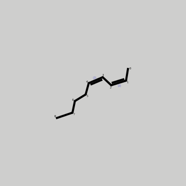 C/C=C\C=C/CCCC